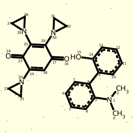 CN(C)c1ccccc1-c1ccccc1O.O=C1C=C(N2CC2)C(=O)C(N2CC2)=C1N1CC1